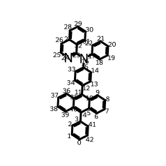 c1ccc(-c2c3ccccc3c(-c3ccc(N(c4ccccc4)c4nccc5ccccc45)cc3)c3ccccc23)cc1